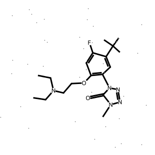 CCN(CC)CCOc1cc(F)c(C(C)(C)C)cc1-n1nnn(C)c1=O